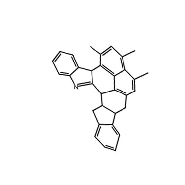 Cc1cc(C)c2c(C)cc3c4c2c1C1C(=Nc2ccccc21)C4C1Cc2ccccc2C1C3